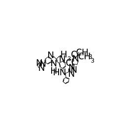 CC(C)(C)N1CCC(n2cc(C(Nc3cc(Cl)c4ncc(C#N)c(Nc5cccc(-n6nccn6)c5)c4c3)c3ccccc3)nn2)CC1